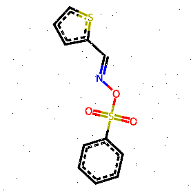 O=S(=O)(O/N=C/c1cccs1)c1ccccc1